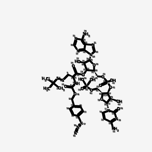 CC(C)(C)SSC[C@H](NC(=O)OCc1ccc(N=[N+]=[N-])cc1)C(=O)O[C@H]1[C@@H](O)[C@H](n2cnc3c(N)ncnc32)O[C@@H]1COP(=O)(O)O[C@H]1[C@@H](O)[C@H](n2ccc(N)nc2=O)O[C@@H]1COP(=O)(O)O